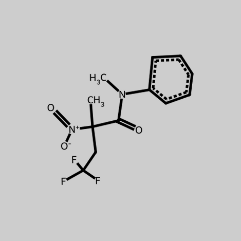 CN(C(=O)C(C)(CC(F)(F)F)[N+](=O)[O-])c1ccccc1